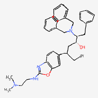 CC(C)CC(C[C@@H](O)[C@H](Cc1ccccc1)N(Cc1ccccc1)Cc1ccccc1)c1ccc2nc(NCCN(C)C)oc2c1